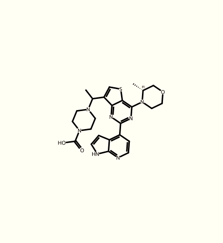 CC(c1csc2c(N3CCOC[C@H]3C)nc(-c3ccnc4[nH]ccc34)nc12)N1CCN(C(=O)O)CC1